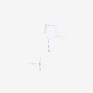 Cc1cn(C(=O)OC(C)(C)C)c(Br)n1